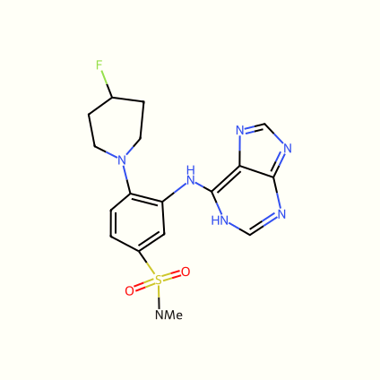 CNS(=O)(=O)c1ccc(N2CCC(F)CC2)c(Nc2[nH]cnc3ncnc2-3)c1